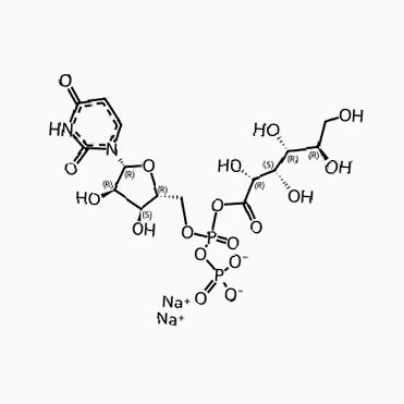 O=C(OP(=O)(OC[C@H]1O[C@@H](n2ccc(=O)[nH]c2=O)[C@H](O)[C@@H]1O)OP(=O)([O-])[O-])[C@H](O)[C@@H](O)[C@H](O)[C@H](O)CO.[Na+].[Na+]